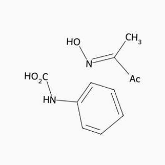 CC(=O)C(C)=NO.O=C(O)Nc1ccccc1